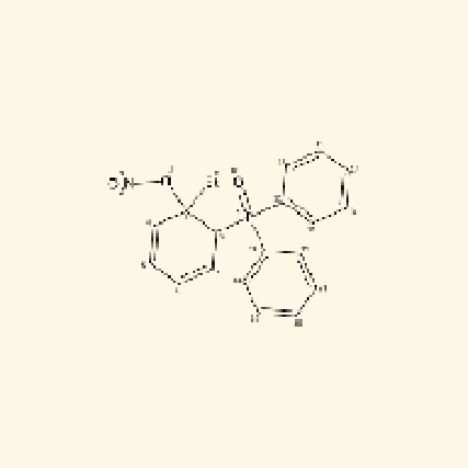 CCC1(O[N+](=O)[O-])C=CC=CC1P(=O)(c1ccccc1)c1ccccc1